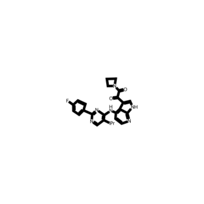 CC(C)c1cnc(-c2ccc(F)cc2)nc1Nc1ccnc2[nH]cc(C(=O)C(=O)N3CCC3)c12